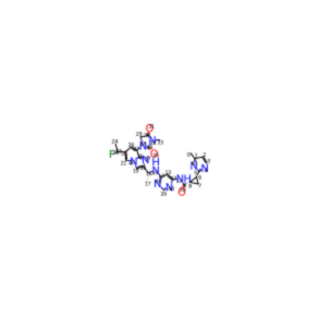 Cc1ccnc([C@H]2C[C@@H]2C(=O)Nc2cc(N[C@H](C)c3cn4cc(C(C)F)cc(N5CC(=O)N(C)C5=O)c4n3)ncn2)n1